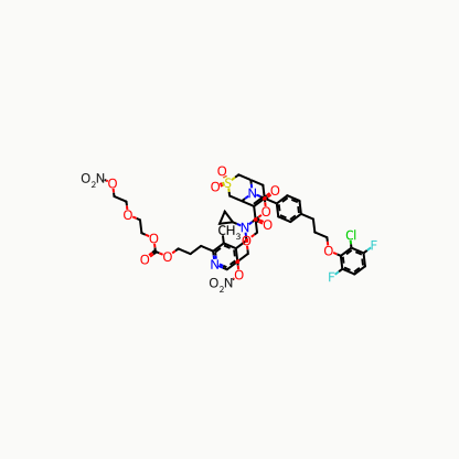 Cc1c(CN(C(=O)C2=C(c3ccc(CCCOc4c(F)ccc(F)c4Cl)cc3)CC3CS(=O)(=O)CC2N3C(=O)OCCOCCO[N+](=O)[O-])C2CC2)ccnc1CCCOC(=O)OCCOCCO[N+](=O)[O-]